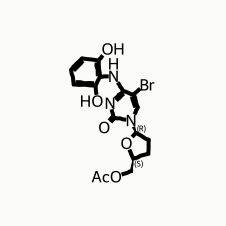 CC(=O)OC[C@@H]1CC[C@H](n2cc(Br)c(Nc3c(O)cccc3O)nc2=O)O1